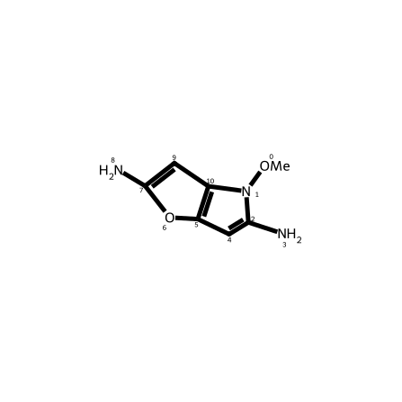 COn1c(N)cc2oc(N)cc21